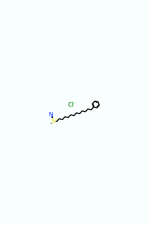 C[S+](C#N)CCCCCCCCCCCCCc1ccccc1.[Cl-]